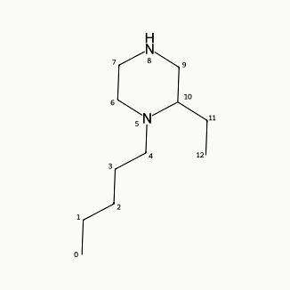 CCCCCN1CCNCC1CC